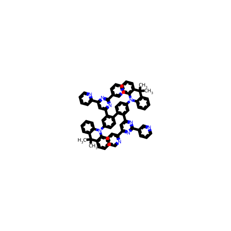 CC1(C)c2ccccc2N(c2ccc(-c3ccc(N4c5ccccc5C(C)(C)c5ccccc54)cc3-c3cc(-c4ccccn4)nc(-c4cccnc4)n3)c(-c3cc(-c4ccccn4)nc(-c4cccnc4)n3)c2)c2ccccc21